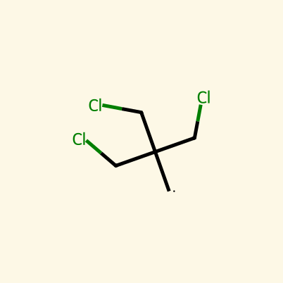 [CH2]C(CCl)(CCl)CCl